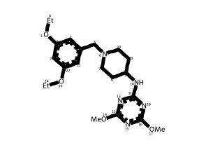 CCOc1cc(CN2CCC(Nc3nc(OC)nc(OC)n3)CC2)cc(OCC)c1